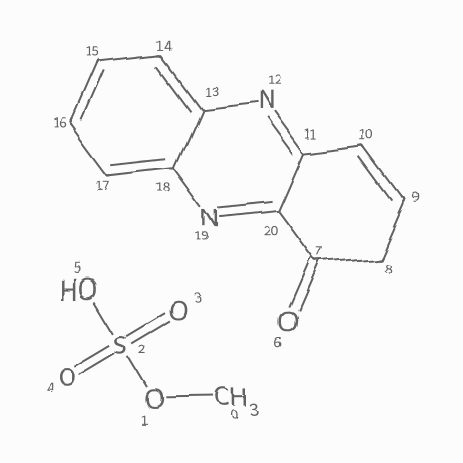 COS(=O)(=O)O.O=C1CC=Cc2nc3ccccc3nc21